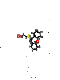 BrCCSC1=Cc2ccccc2Oc2ccccc21